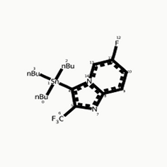 CCC[CH2][Sn]([CH2]CCC)([CH2]CCC)[c]1c(C(F)(F)F)nc2ccc(F)cn12